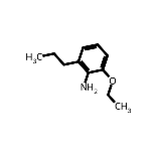 CCCc1cccc(OCC)c1N